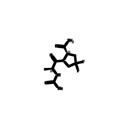 C[C@H](NC(=O)C(C)(C)C)C(=O)N1CC(F)(F)C[C@H]1C(N)=O